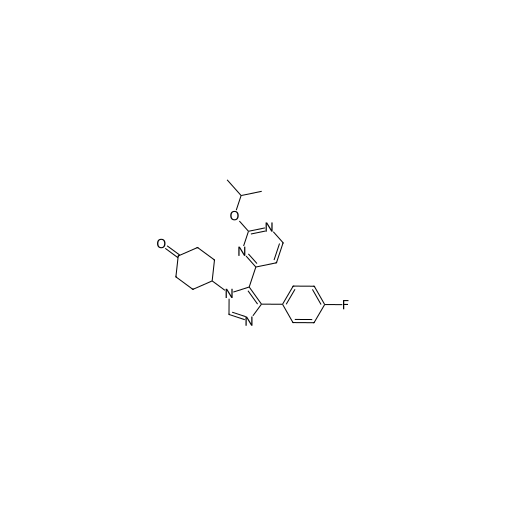 CC(C)Oc1nccc(-c2c(-c3ccc(F)cc3)ncn2C2CCC(=O)CC2)n1